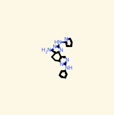 Nc1nc(Nc2ccccn2)nc2c1CCc1nc(Nc3ccccc3)ncc1-2